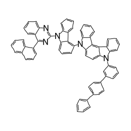 c1ccc(-c2ccc(-c3cccc(-n4c5ccccc5c5c6c7ccccc7n(-c7cccc8c7c7ccccc7n8-c7nc(-c8cccc9ccccc89)c8ccccc8n7)c6ccc54)c3)cc2)cc1